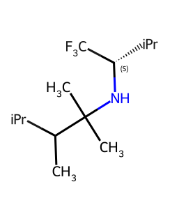 CC(C)C(C)C(C)(C)N[C@@H](C(C)C)C(F)(F)F